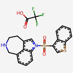 O=C(O)C(F)(F)F.O=S(=O)(c1csc2ccccc12)n1cc2c3c(cccc31)CNCC2